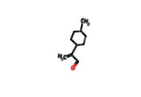 C=C(C=O)C1CCC(C)CC1